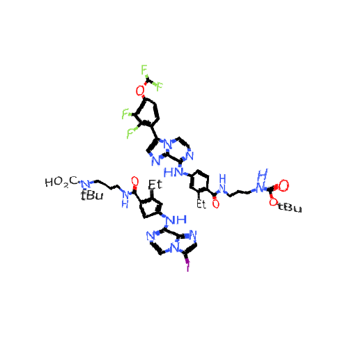 CCc1cc(Nc2nccn3c(-c4ccc(OC(F)F)c(F)c4F)cnc23)ccc1C(=O)NCCCNC(=O)OC(C)(C)C.CCc1cc(Nc2nccn3c(I)cnc23)ccc1C(=O)NCCCN(C(=O)O)C(C)(C)C